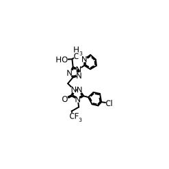 CC(O)c1nc(Cn2nc(-c3ccc(Cl)cc3)n(CCC(F)(F)F)c2=O)nn1-c1ccccn1